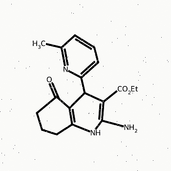 CCOC(=O)C1=C(N)NC2=C(C(=O)CCC2)C1c1cccc(C)n1